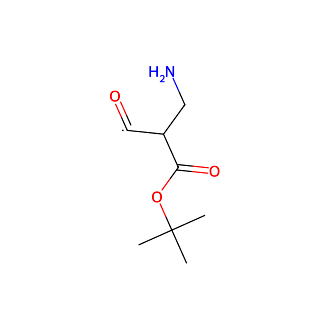 CC(C)(C)OC(=O)C([C]=O)CN